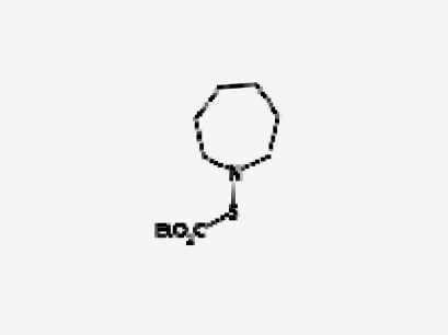 CCOC(=O)SN1CCCCCC1